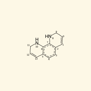 C1=Cc2ccc3c(c2NC1)NCC=C3